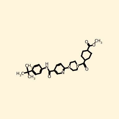 COC(=O)C1CCC(C(=O)N2CCN(c3ccc(C(=O)Nc4ccc(C(C)(C)C)cc4)cn3)CC2)CC1